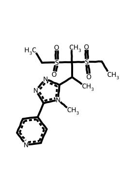 CCS(=O)(=O)C(C)(C(C)c1nnc(-c2ccncc2)n1C)S(=O)(=O)CC